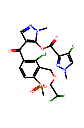 Cn1cc(Cl)c(C(=O)Oc2c(C(=O)c3ccc(S(C)(=O)=O)c(COCC(F)F)c3Cl)cnn2C)n1